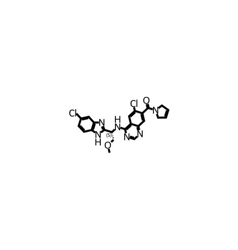 COC[C@@H](Nc1ncnc2cc(C(=O)N3CC=CC3)c(Cl)cc12)c1nc2cc(Cl)ccc2[nH]1